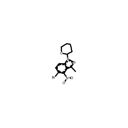 Cc1nn(C2CCCCO2)c2ccc(Br)c([N+](=O)[O-])c12